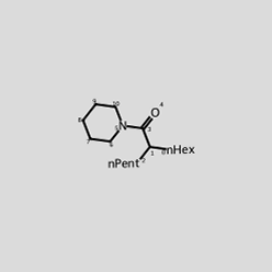 CCCCCCC(CCCCC)C(=O)N1CCCCC1